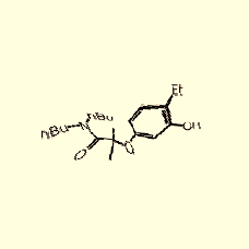 CCCCN(CCCC)C(=O)C(C)(C)Oc1ccc(CC)c(O)c1